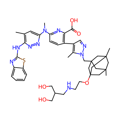 Cc1cc(N(C)c2ccc(-c3cnn(CC45CC6(C)CC(C)(C4)CC(OCCNCC(CO)CO)(C6)C5)c3C)c(C(=O)O)n2)nnc1Nc1nc2ccccc2s1